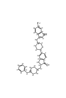 O=C1c2ccc(C3CCN(Cc4c[nH]c5cc(F)ccc45)CC3)cc2CC1CC1CCN(Cc2ccccc2)CC1